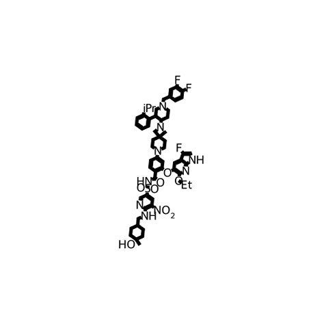 CCOc1nc2[nH]cc(F)c2cc1Oc1cc(N2CCC3(CC2)CN(C2CCN(Cc4ccc(F)c(F)c4)CC2c2ccccc2C(C)C)C3)ccc1C(=O)NS(=O)(=O)c1cnc(NCC2CCC(C)(O)CC2)c([N+](=O)[O-])c1